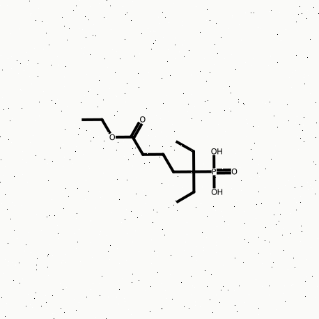 CCOC(=O)CCCC(CC)(CC)P(=O)(O)O